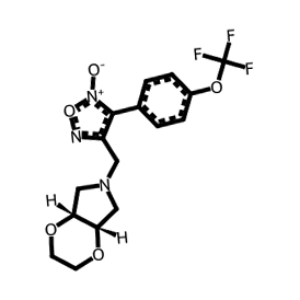 [O-][n+]1onc(CN2C[C@@H]3OCCO[C@@H]3C2)c1-c1ccc(OC(F)(F)F)cc1